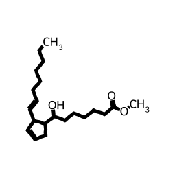 CCCCCCC=CC1C=CCC1C(O)CCCCCC(=O)OC